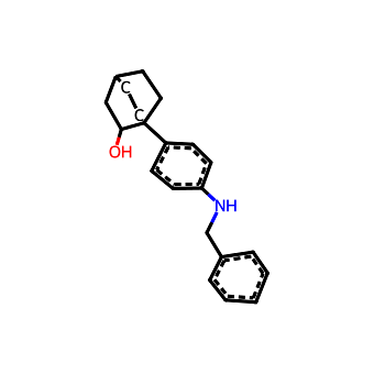 OC1CC2CCC1(c1ccc(NCc3ccccc3)cc1)CC2